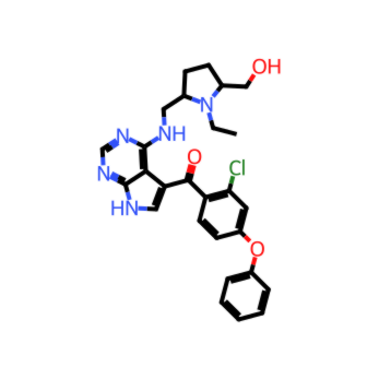 CCN1C(CO)CCC1CNc1ncnc2[nH]cc(C(=O)c3ccc(Oc4ccccc4)cc3Cl)c12